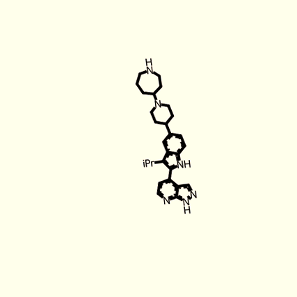 CC(C)c1c(-c2ccnc3[nH]ncc23)[nH]c2ccc(C3CCN(C4CCCNCC4)CC3)cc12